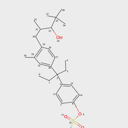 CCC(CC)(c1ccc(OS(C)(=O)=O)cc1)c1ccc(CC(C)C(O)C(C)(C)C)c(C)c1